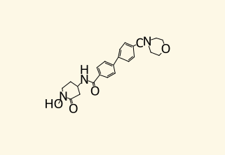 O=C(NC1CCN(O)C(=O)C1)c1ccc(-c2ccc(CN3CCOCC3)cc2)cc1